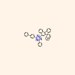 c1ccc(-c2ccc(-c3nc(-c4ccccc4)nc(-c4cc5c(c6ccccc46)-c4ccccc4C54C5CC6CC(C5)CC4C6)n3)cc2)cc1